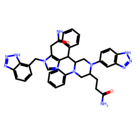 NC(=O)CCC1CN(c2ccccc2)C(C(c2ccccc2)c2ncn(Cc3cccc4nn[nH]c34)c2CC(N)=O)CN1c1ccc2[nH]nnc2c1